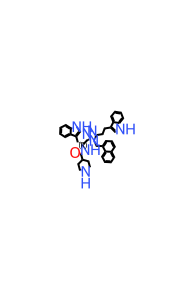 O=C(N[C@H](Cc1c[nH]c2ccccc12)c1nnc(CCc2c[nH]c3ccccc23)n1Cc1cccc2ccccc12)C1CCNCC1